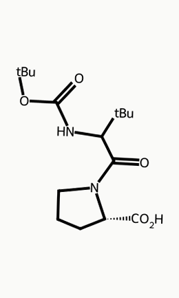 CC(C)(C)OC(=O)NC(C(=O)N1CCC[C@H]1C(=O)O)C(C)(C)C